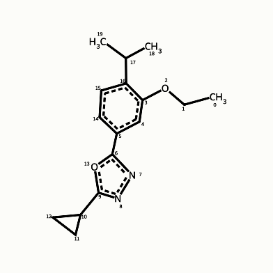 CCOc1cc(-c2nnc(C3CC3)o2)ccc1C(C)C